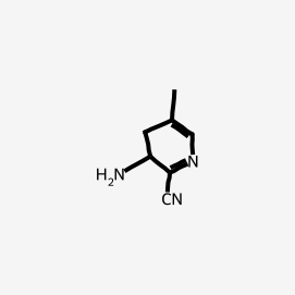 CC1=CN=C(C#N)C(N)C1